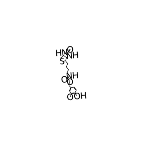 COc1cc(COC(=O)NCCCCC2SCC3NC(=O)NC32)ccc1O